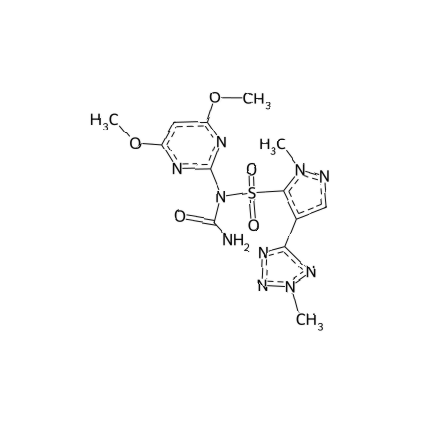 COc1cc(OC)nc(N(C(N)=O)S(=O)(=O)c2c(-c3nnn(C)n3)cnn2C)n1